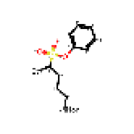 CCCCCCCCCCCCC(CC)S(=O)(=O)Oc1ccccc1